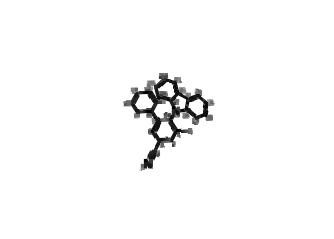 Cc1cc(C#N)cc(-c2ccccc2)c1-n1c2ccccc2c2ccccc21